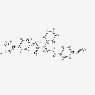 Cc1cn(-c2ccc(NC(=O)/C(=N/CCc3ccc(C#N)cc3)c3ccccc3)nc2)cn1